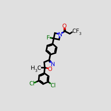 CC1(c2cc(Cl)cc(Cl)c2)CC(c2ccc(C3(F)CN(C(=O)CC(F)(F)F)C3)cc2)=NO1